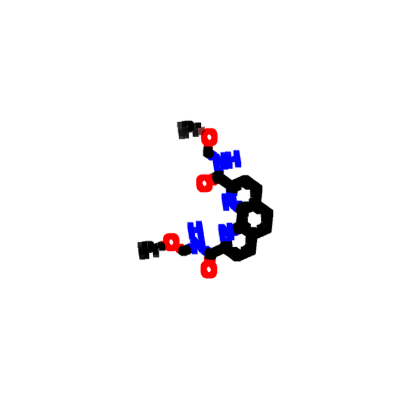 CC(C)OCNC(=O)c1ccc2ccc3ccc(C(=O)NCOC(C)C)nc3c2n1